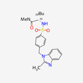 CC[C@H](C)[C@H](NS(=O)(=O)c1ccc(Cn2c(C)nc3ccccc32)cc1)C(=O)NC